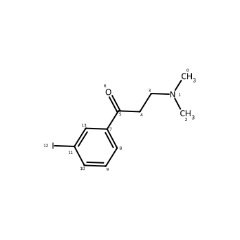 CN(C)CCC(=O)c1cccc(I)c1